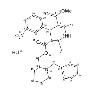 COC(=O)C1=C(C)NC(C)=C(C(=O)OCC2CCCCN2Cc2ccccc2)C1c1cccc([N+](=O)[O-])c1.Cl